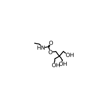 CCNC(=O)OCC(CO)(CO)CO